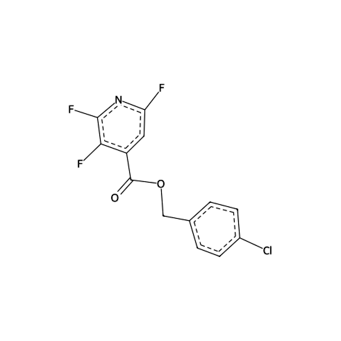 O=C(OCc1ccc(Cl)cc1)c1cc(F)nc(F)c1F